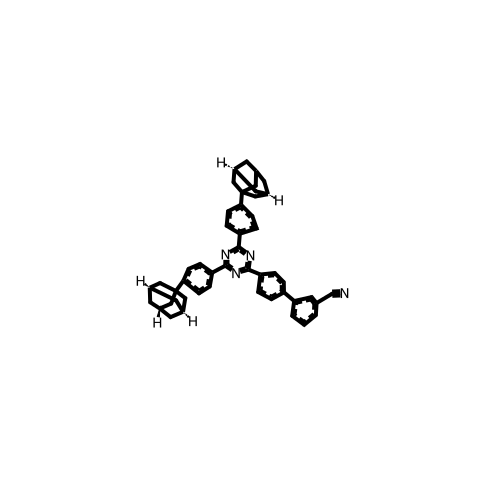 N#Cc1cccc(-c2ccc(-c3nc(-c4ccc(C56CC7C[C@H](C5)C[C@@H](C7)C6)cc4)nc(-c4ccc(C56C[C@H]7C[C@@H](C5)C[C@@H](C6)C7)cc4)n3)cc2)c1